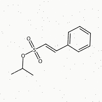 CC(C)OS(=O)(=O)C=Cc1ccccc1